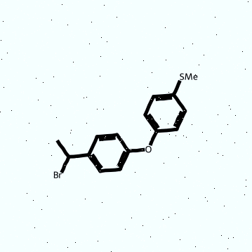 CSc1ccc(Oc2ccc(C(C)Br)cc2)cc1